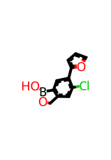 OB1OCc2cc(Cl)c(-c3ccco3)cc21